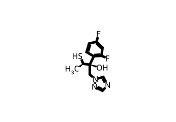 C[C@@H](S)[C@@](O)(Cn1cncn1)c1ccc(F)cc1F